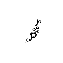 C=Cc1ccc(S(=O)(=O)OCC2CO2)cc1